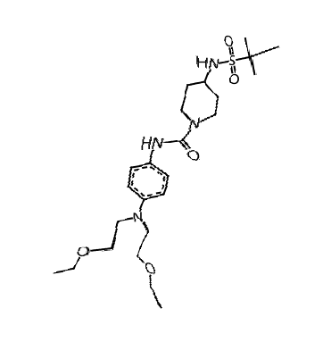 CCOCCN(CCOCC)c1ccc(NC(=O)N2CCC(NS(=O)(=O)C(C)(C)C)CC2)cc1